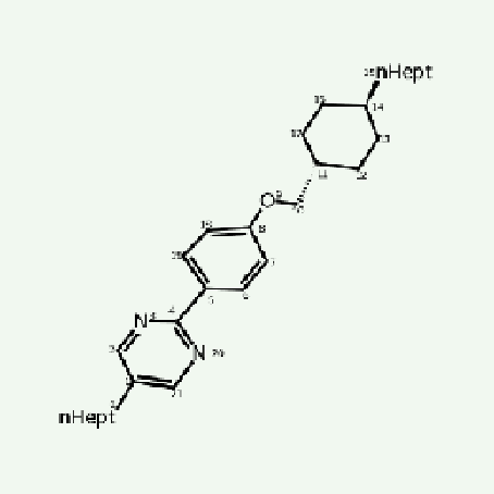 CCCCCCCc1cnc(-c2ccc(OC[C@H]3CC[C@H](CCCCCCC)CC3)cc2)nc1